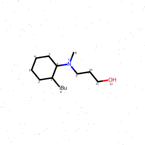 CCC(C)C1CCCCC1N(C)CCCO